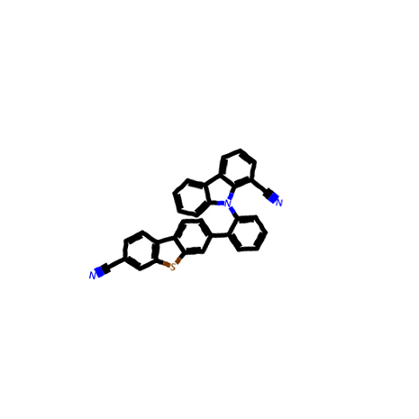 N#Cc1ccc2c(c1)sc1cc(-c3ccccc3-n3c4ccccc4c4cccc(C#N)c43)ccc12